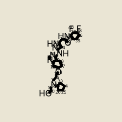 O=C(Cc1cc(Nc2ncnc3cc(OCCCN(CCO)C4CCCC4)ccc23)n[nH]1)Nc1cccc(F)c1F